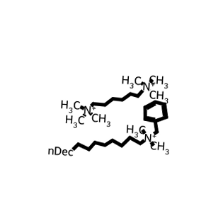 CCCCCCCCCCCCCCCCCC[N+](C)(C)Cc1ccccc1.C[N+](C)(C)CCCCCC[N+](C)(C)C